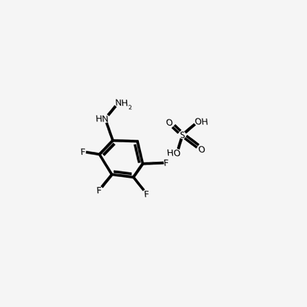 NNc1cc(F)c(F)c(F)c1F.O=S(=O)(O)O